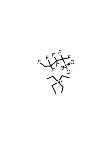 CC[N+](CC)(CC)CC.O=S(=O)([O-])C(F)(F)C(F)(F)C(F)(F)CF